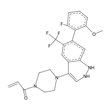 C=CC(=O)N1CCN(C2=CNNc3cc(-c4c(F)cccc4OC)c(C(F)(F)F)cc32)CC1